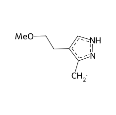 [CH2]c1n[nH]cc1CCOC